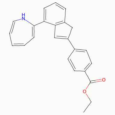 CCOC(=O)c1ccc(C2=Cc3c(cccc3C3=CC=CC=CN3)C2)cc1